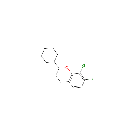 Clc1ccc2c(c1Cl)OC(C1CCCCC1)CC2